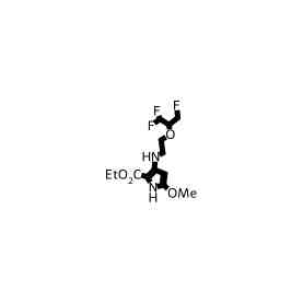 CCOC(=O)c1[nH]c(OC)cc1NCCOC(CF)C(F)F